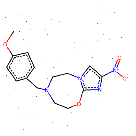 COc1ccc(CN2CCOc3nc([N+](=O)[O-])cn3CC2)cc1